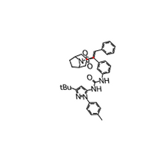 Cc1ccc(-n2nc(C(C)(C)C)cc2NC(=O)Nc2cccc(CC3CC4CCC(C3)N4S(=O)(=O)C=Cc3ccccc3)c2)cc1